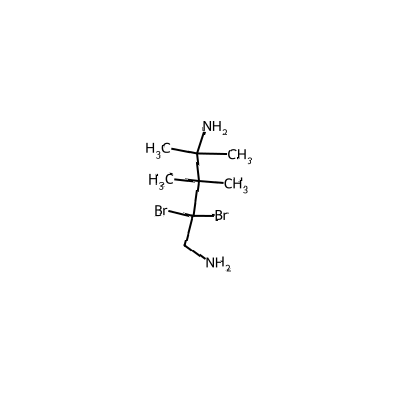 CC(C)(N)C(C)(C)C(Br)(Br)CN